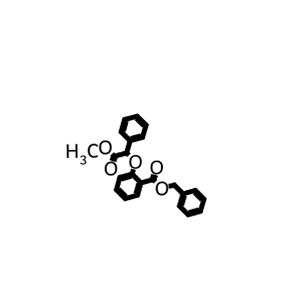 COC(=O)C(Oc1ccccc1C(=O)OCc1ccccc1)c1ccccc1